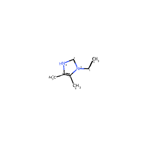 CCN1CNC(C)=C1C